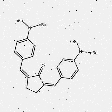 CCCCN(CCCC)c1ccc(C=C2CCC(=Cc3ccc(N(CCCC)CCCC)cc3)C2=O)cc1